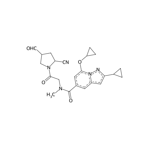 CN(CC(=O)N1CC(C=O)CC1C#N)C(=O)c1cc(OC2CC2)n2nc(C3CC3)cc2c1